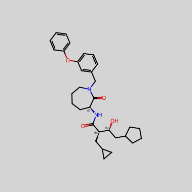 O=C(N[C@H]1CCCCN(Cc2cccc(Oc3ccccc3)c2)C1=O)[C@H](CC1CC1)[C@@H](O)CC1CCCC1